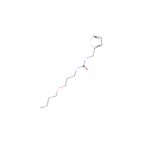 CCCCOCCCNC(=O)NCc1cccs1